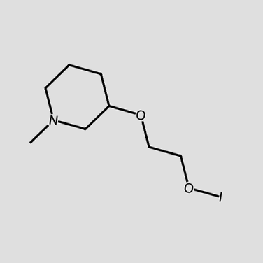 CN1CCCC(OCCOI)C1